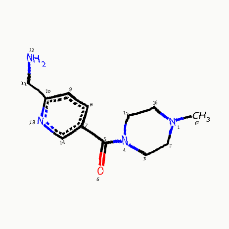 CN1CCN(C(=O)c2ccc(CN)nc2)CC1